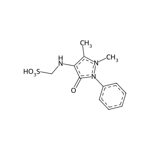 Cc1c(NCS(=O)(=O)O)c(=O)n(-c2ccccc2)n1C